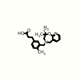 Cc1ccc(CCC(=O)O)cc1CN1Cc2cccnc2OC(C)(C)C1